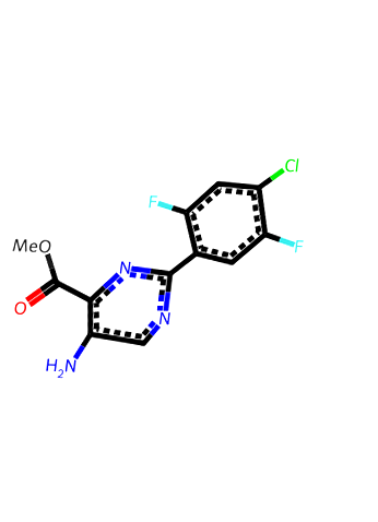 COC(=O)c1nc(-c2cc(F)c(Cl)cc2F)ncc1N